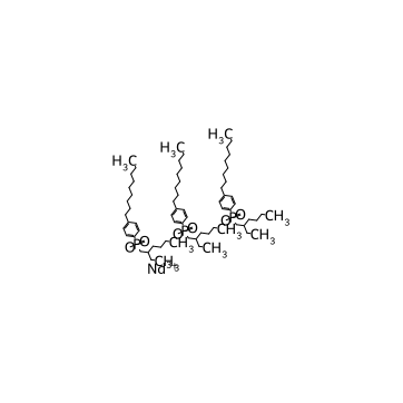 CCCCCCCCCc1ccc(P(=O)([O-])CC(CC)CCCC)cc1.CCCCCCCCCc1ccc(P(=O)([O-])CC(CC)CCCC)cc1.CCCCCCCCCc1ccc(P(=O)([O-])CC(CC)CCCC)cc1.[Nd+3]